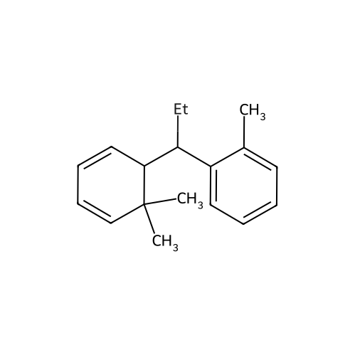 CCC(c1ccccc1C)C1C=CC=CC1(C)C